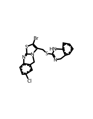 Clc1ccc2c(c1)CN1C(=N2)SC(Br)=C1CSC1=NCc2ccccc2N1